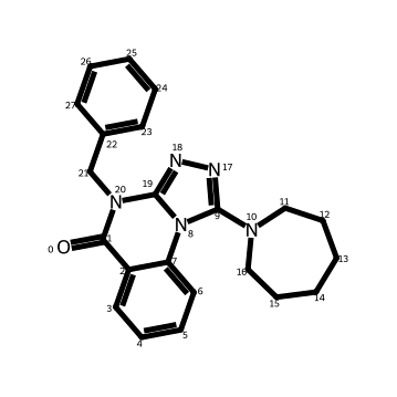 O=c1c2ccccc2n2c(N3CCCCCC3)nnc2n1Cc1ccccc1